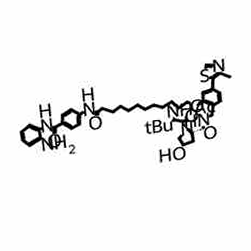 CC(=O)N[C@H](C(=O)N1C[C@H](O)C[C@H]1C(=O)NCc1ccc(-c2scnc2C)cc1OCCCCCCCCCCCC(=O)Nc1ccc(C(=O)Nc2ccccc2N)cc1)C(C)(C)C